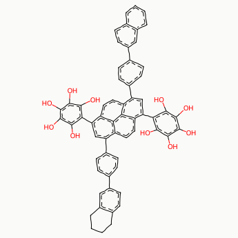 Oc1c(O)c(O)c(-c2cc(-c3ccc(-c4ccc5c(c4)CCCC5)cc3)c3ccc4c(-c5c(O)c(O)c(O)c(O)c5O)cc(-c5ccc(-c6ccc7ccccc7c6)cc5)c5ccc2c3c54)c(O)c1O